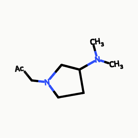 CC(=O)CN1CCC(N(C)C)C1